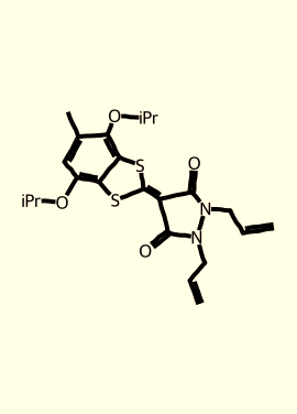 C=CCN1C(=O)C(=C2Sc3c(OC(C)C)cc(C)c(OC(C)C)c3S2)C(=O)N1CC=C